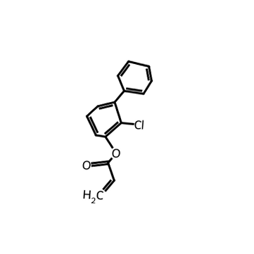 C=CC(=O)Oc1cccc(-c2ccccc2)c1Cl